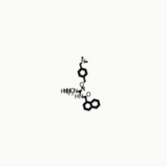 CN(C)Cc1ccc(CON=C(N)NC(=O)c2cccc3ccccc23)cc1.Cl.O